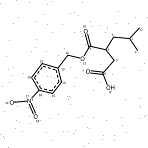 CC(C)CC(CC(=O)O)C(=O)OCc1ccc([N+](=O)[O-])cc1